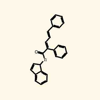 O=[C]([Ti][CH]1C=Cc2ccccc21)C(=CC=Cc1ccccc1)c1ccccc1